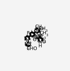 C[C@@H]1CN(c2cc(F)c(C3=CCCN(c4ncc(C=O)cn4)C3)cc2NC(=O)c2c[nH]c(=O)cc2C(F)(F)F)C[C@H](C)N1C